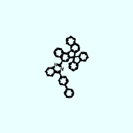 c1ccc(-c2ccc(-c3nc(-c4cc5c(c6ccccc46)-c4c(ccc6ccccc46)C54c5ccccc5-c5ccccc54)nc4ccccc34)cc2)cc1